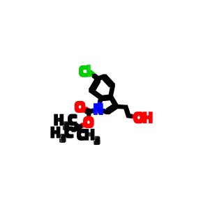 CC(C)(C)OC(=O)n1cc(CCO)c2ccc(Cl)cc21